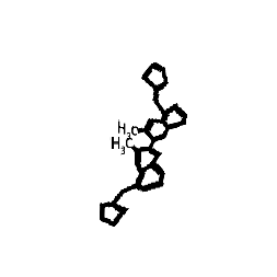 Cc1cc2c(CC3CCCC3)cccc2cc1-c1cc2cccc(CC3CCCC3)c2cc1C